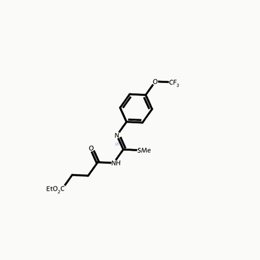 CCOC(=O)CCC(=O)N/C(=N/c1ccc(OC(F)(F)F)cc1)SC